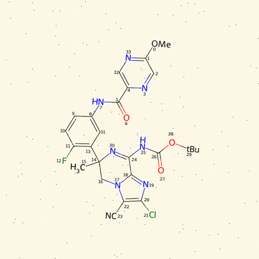 COc1cnc(C(=O)Nc2ccc(F)c(C3(C)Cn4c(nc(Cl)c4C#N)C(NC(=O)OC(C)(C)C)=N3)c2)cn1